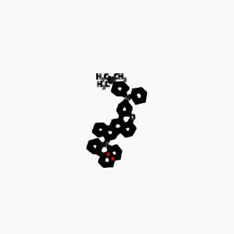 C[Si](C)(C)c1ccc(N(c2ccccc2)c2ccc3c(c2)Oc2cccc4c2c-3cc2c3ccccc3c(N(c3ccccc3)c3ccccc3-c3ccccc3)cc42)cc1